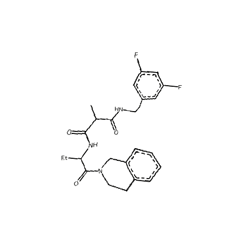 CCC(NC(=O)C(C)C(=O)NCc1cc(F)cc(F)c1)C(=O)N1CCc2ccccc2C1